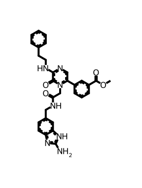 COC(=O)c1cccc(-c2cnc(NCCc3ccccc3)c(=O)n2CC(=O)NCc2ccc3nc(N)[nH]c3c2)c1